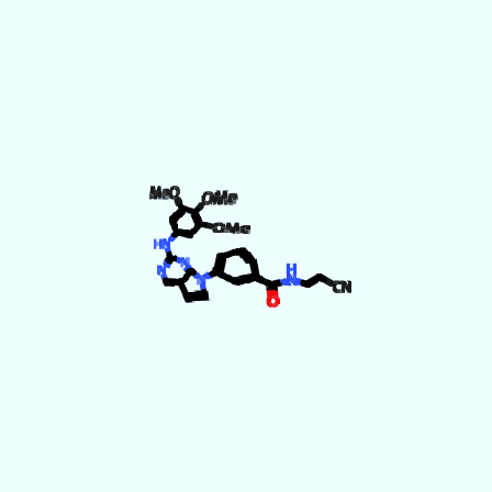 COc1cc(Nc2ncc3ccn(-c4cccc(C(=O)NCCC#N)c4)c3n2)cc(OC)c1OC